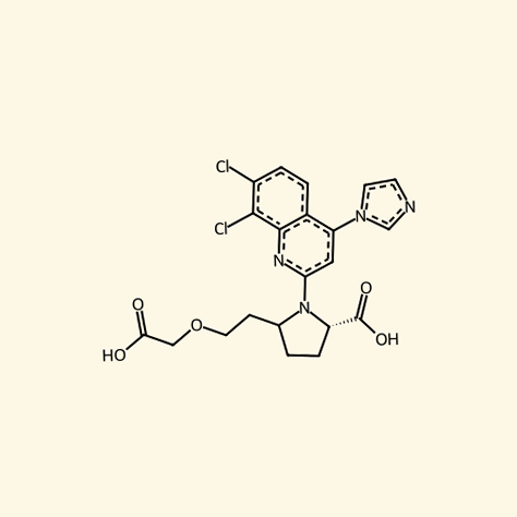 O=C(O)COCCC1CC[C@@H](C(=O)O)N1c1cc(-n2ccnc2)c2ccc(Cl)c(Cl)c2n1